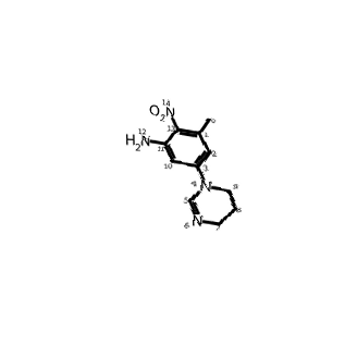 Cc1cc(N2C=NCCC2)cc(N)c1[N+](=O)[O-]